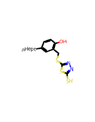 CCCCCCCc1ccc(O)c(CSc2nnc(S)s2)c1